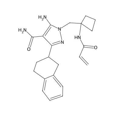 C=CC(=O)NC1(Cn2nc(C3CCc4ccccc4C3)c(C(N)=O)c2N)CCC1